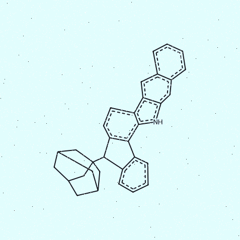 c1ccc2c(c1)-c1c(ccc3c1[nH]c1cc4ccccc4cc13)C2C12CC3CC(CC(C3)C1)C2